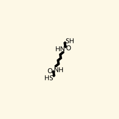 O=C(CS)NCCCCCCNC(=O)CS